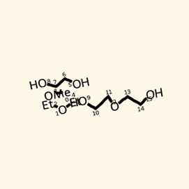 CCOCC.COC.OCCO.OCCOCCO